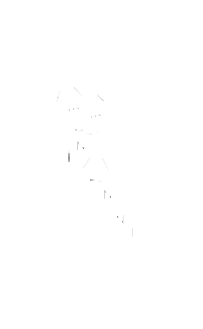 CN1CCN(c2ccc3c(ccn3S(=O)(=O)c3cccc4ccccc34)c2)CC1